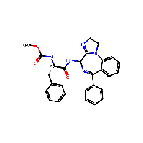 CC(C)(C)OC(=O)N[C@@H](Cc1ccccc1)C(=O)NC1N=C(c2ccccc2)c2ccccc2N2CCN=C12